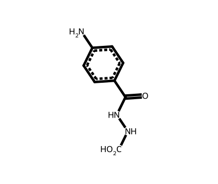 Nc1ccc(C(=O)NNC(=O)O)cc1